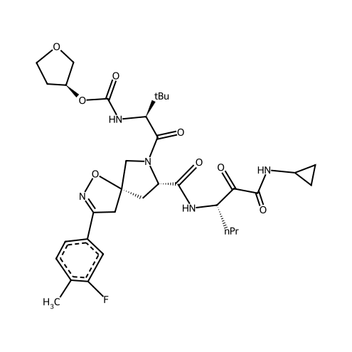 CCC[C@H](NC(=O)[C@@H]1C[C@@]2(CC(c3ccc(C)c(F)c3)=NO2)CN1C(=O)[C@@H](NC(=O)O[C@H]1CCOC1)C(C)(C)C)C(=O)C(=O)NC1CC1